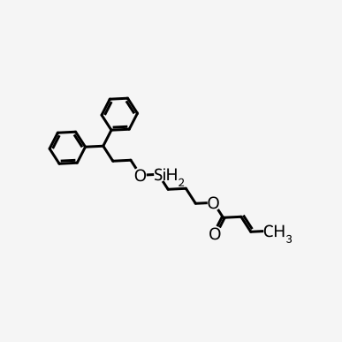 CC=CC(=O)OCCC[SiH2]OCCC(c1ccccc1)c1ccccc1